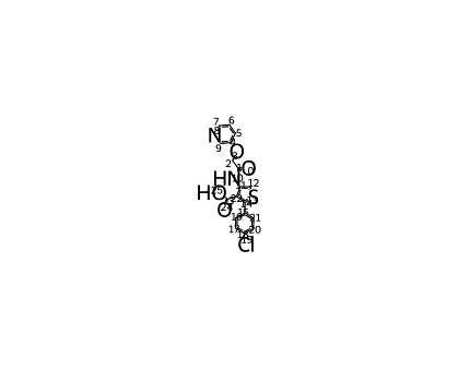 O=C(COc1cccnc1)Nc1csc(-c2ccc(Cl)cc2)c1C(=O)O